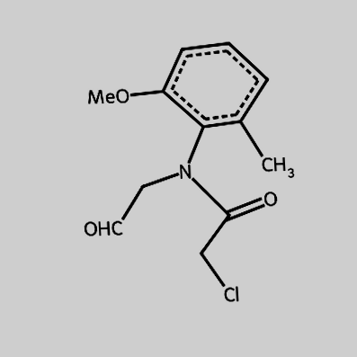 COc1cccc(C)c1N(CC=O)C(=O)CCl